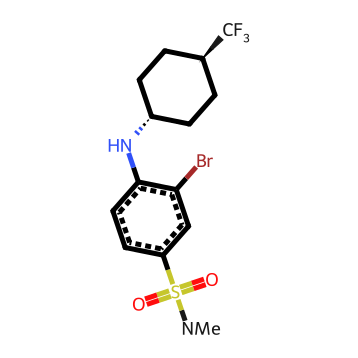 CNS(=O)(=O)c1ccc(N[C@H]2CC[C@H](C(F)(F)F)CC2)c(Br)c1